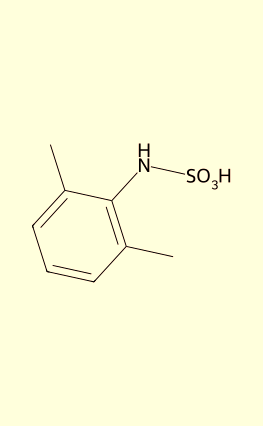 Cc1cccc(C)c1NS(=O)(=O)O